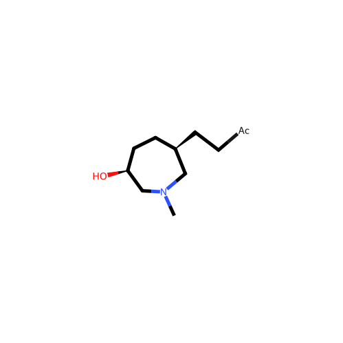 CC(=O)CC[C@@H]1CC[C@H](O)CN(C)C1